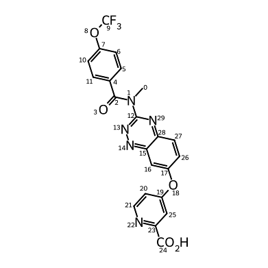 CN(C(=O)c1ccc(OC(F)(F)F)cc1)c1nnc2cc(Oc3ccnc(C(=O)O)c3)ccc2n1